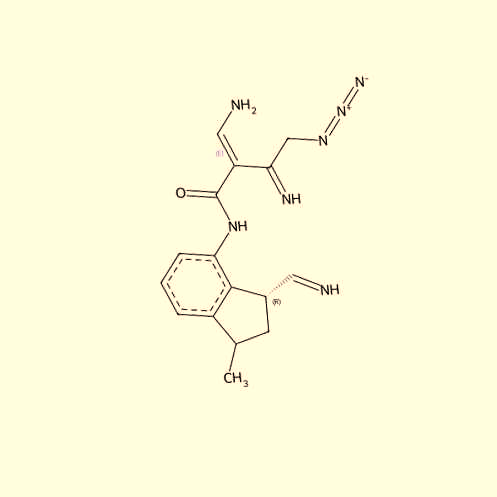 CC1C[C@@H](C=N)c2c(NC(=O)/C(=C/N)C(=N)CN=[N+]=[N-])cccc21